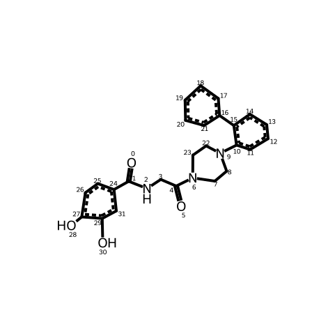 O=C(NCC(=O)N1CCN(c2ccccc2-c2ccccc2)CC1)c1ccc(O)c(O)c1